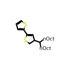 CCCCCCCCC(CCCCCCCC)C1C=C(c2cccs2)SC1